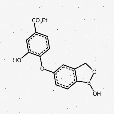 CCOC(=O)c1ccc(Oc2ccc3c(c2)COB3O)c(O)c1